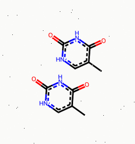 Cc1c[nH]c(=O)[nH]c1=O.Cc1c[nH]c(=O)[nH]c1=O